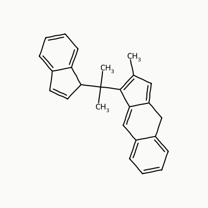 CC1=C(C(C)(C)C2C=Cc3ccccc32)C2=Cc3ccccc3CC2=C1